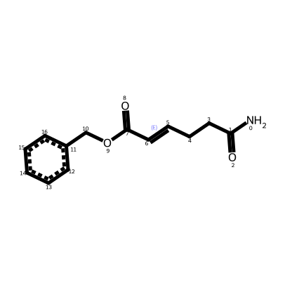 NC(=O)CC/C=C/C(=O)OCc1ccccc1